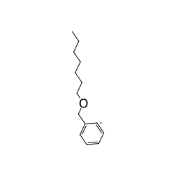 CCCCCCCOCc1[c]cccc1